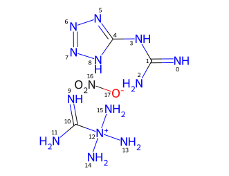 N=C(N)Nc1nnn[nH]1.N=C(N)[N+](N)(N)N.O=[N+]([O-])[O-]